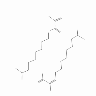 C=C(C)C(=O)OCCCCCCCC(C)C.CC(=CCCCCCCCC(C)C)C(=O)O